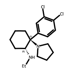 CCN[C@@H]1CCCC[C@@]1(c1ccc(Cl)c(Cl)c1)N1CCCC1